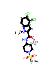 CC(=O)NS(=O)(=O)N1CC[C@H](NC(=O)c2cc3c(Cl)c(Cl)ccc3n2C)[C@H](C#N)C1